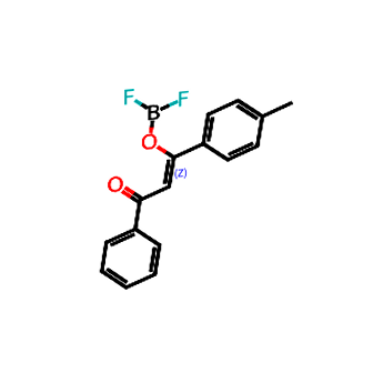 Cc1ccc(/C(=C/C(=O)c2ccccc2)OB(F)F)cc1